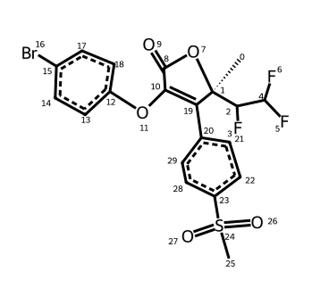 C[C@@]1(C(F)C(F)F)OC(=O)C(Oc2ccc(Br)cc2)=C1c1ccc(S(C)(=O)=O)cc1